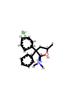 CC1CC(c2ccccc2)(c2ccccc2)C(=[N+](C)C)O1.[Br-]